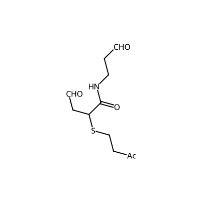 CC(=O)CCSC(CC=O)C(=O)NCCC=O